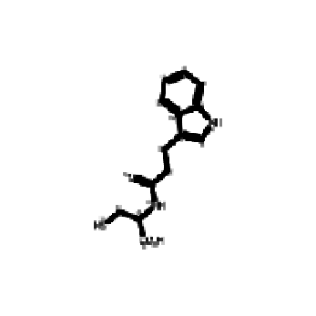 O=C(CCc1c[nH]c2ccccc12)NC(CS)C(=O)O